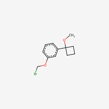 COC1(c2cccc(OCBr)c2)CCC1